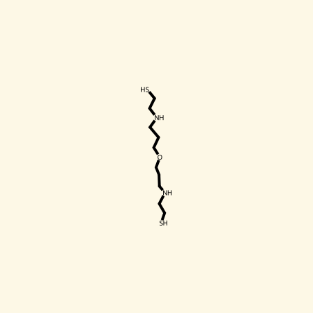 SCCNCCCOCCCNCCS